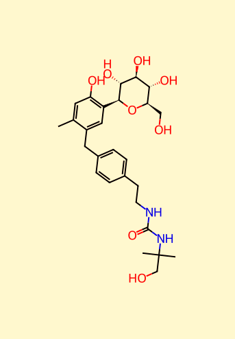 Cc1cc(O)c([C@@H]2O[C@H](CO)[C@@H](O)[C@H](O)[C@H]2O)cc1Cc1ccc(CCNC(=O)NC(C)(C)CO)cc1